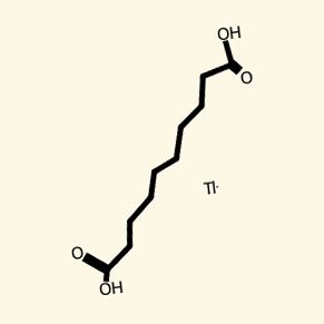 O=C(O)CCCCCCCCC(=O)O.[Tl]